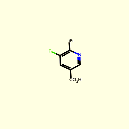 CC(C)c1ncc(C(=O)O)cc1F